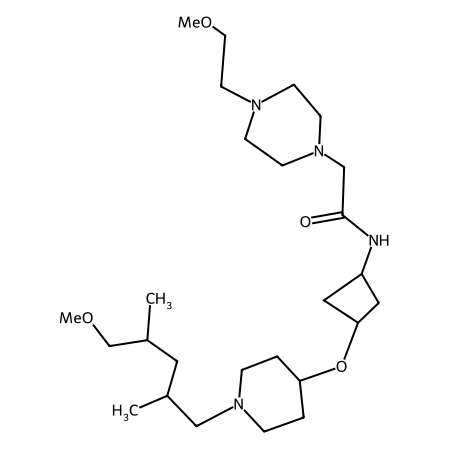 COCCN1CCN(CC(=O)NC2CC(OC3CCN(CC(C)CC(C)COC)CC3)C2)CC1